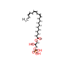 CC/C=C\C/C=C\C/C=C\CCCCCCCCCC(=O)OCC(O)COP(=O)(O)O